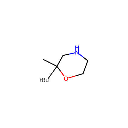 CC(C)(C)C1(C)CNCCO1